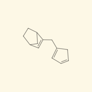 C1=CCC(CC2=CC3CCC2C3)=C1